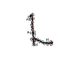 O=C(CCOCCOCCOCCOCCNC(=O)CCN1C(=O)C=CC1=O)NCCCC[C@H](NC(=O)CCOCCOCCOCCOCCNC(=O)CCN1C(=O)C=CC1=O)C(=O)NCCOS